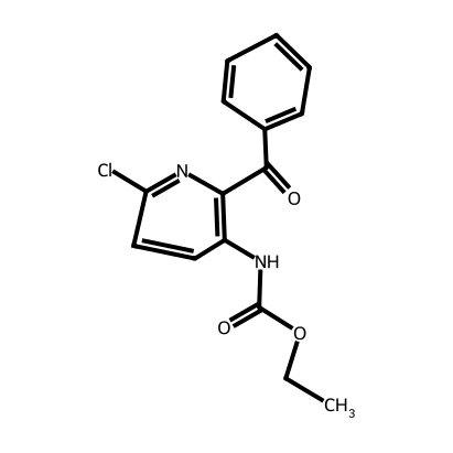 CCOC(=O)Nc1ccc(Cl)nc1C(=O)c1ccccc1